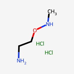 CNOCCN.Cl.Cl